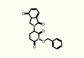 O=C1C=CC=C2C(=O)N(C3CCC(=O)N(OCc4ccccc4)C3=O)CC12